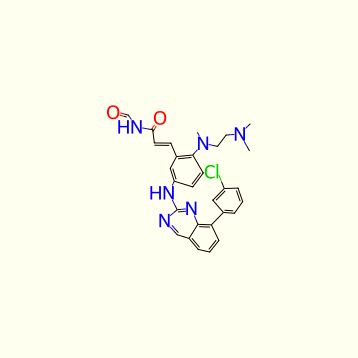 CN(C)CCN(C)c1ccc(Nc2ncc3cccc(-c4cccc(Cl)c4)c3n2)cc1C=CC(=O)NC=O